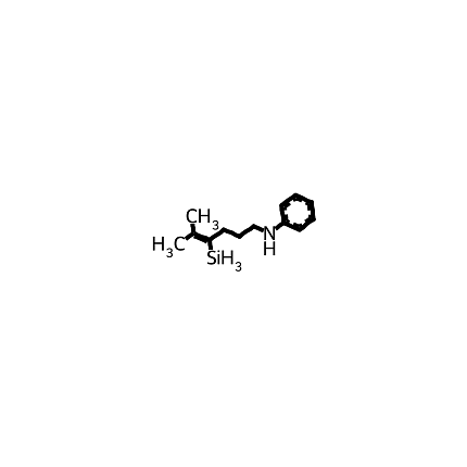 CC(C)=C([SiH3])CCCNc1ccccc1